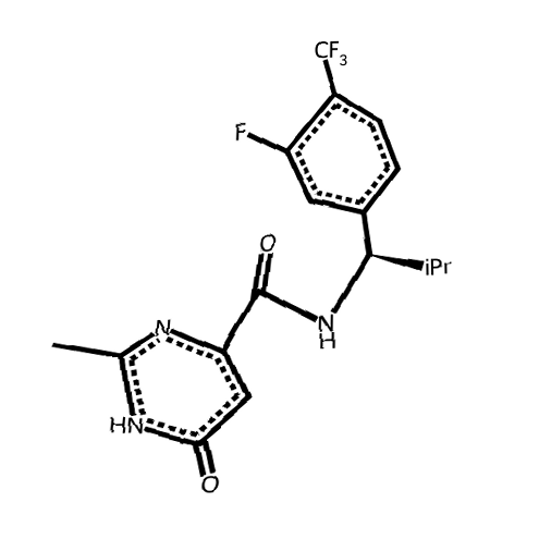 Cc1nc(C(=O)N[C@@H](c2ccc(C(F)(F)F)c(F)c2)C(C)C)cc(=O)[nH]1